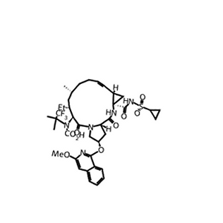 CC[C@@H]1C[C@H](C)CCC=C[C@@H]2C[C@@]2(C(=O)NS(=O)(=O)C2CC2)NC(=O)[C@@H]2C[C@@H](Oc3nc(OC)cc4ccccc34)CN2C(=O)[C@H]1N(C(=O)O)C(C)(C)C(F)(F)F